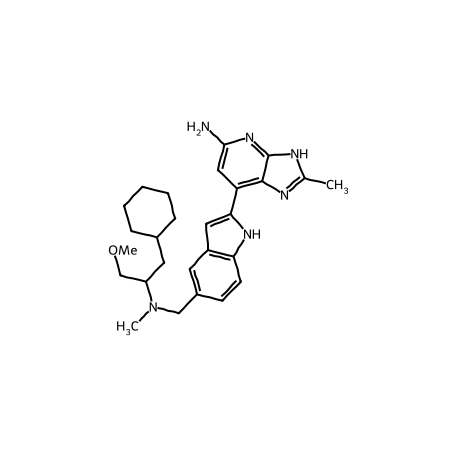 COCC(CC1CCCCC1)N(C)Cc1ccc2[nH]c(-c3cc(N)nc4[nH]c(C)nc34)cc2c1